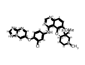 COc1ccc2ncnc(Nc3ccc(Oc4cnc5ncnn5c4)c(Cl)c3)c2c1O[C@H]1CCN(C)CC1(F)F